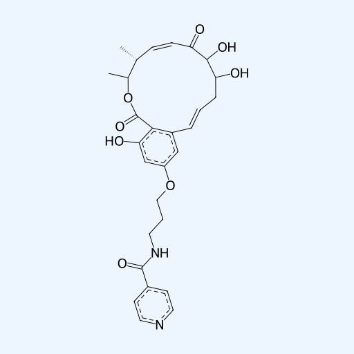 CC1OC(=O)c2c(O)cc(OCCCNC(=O)c3ccncc3)cc2/C=C/CC(O)C(O)C(=O)/C=C\[C@H]1C